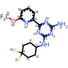 Nc1nc(NC2CCC(F)(F)CC2)nc(-c2cccc(OC(F)(F)F)n2)n1